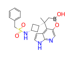 CC1([C@H]2C[C@@H](NS(=O)(=O)Cc3ccccc3)C2)CB(O)Oc2cnc3[nH]ccc3c21